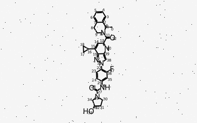 C[C@@H]1c2ccccc2CCN1C(=O)c1cc(C2CC2)c2nn(-c3ccc(NC(=O)N4CC[C@@H](O)C4)cc3F)cc2n1